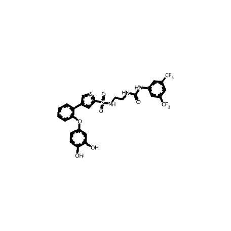 O=C(NCCNS(=O)(=O)c1cc(-c2ccccc2Oc2ccc(O)c(O)c2)cs1)Nc1cc(C(F)(F)F)cc(C(F)(F)F)c1